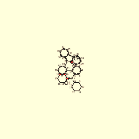 COc1cccc(P(C2CCCCC2)C2CCCCC2)c1-c1c(OC)cccc1-p1c2ccccc2c2ccccc21